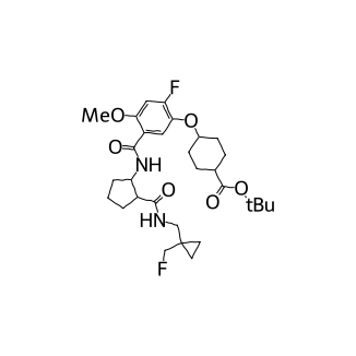 COc1cc(F)c(OC2CCC(C(=O)OC(C)(C)C)CC2)cc1C(=O)NC1CCCC1C(=O)NCC1(CF)CC1